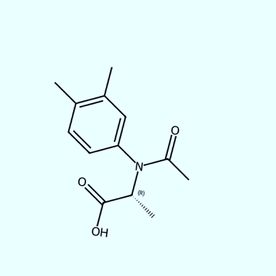 CC(=O)N(c1ccc(C)c(C)c1)[C@H](C)C(=O)O